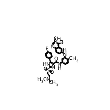 Cc1ccc(NC(=O)c2nc(S(=O)(=O)CCN(C)C)[nH]c2-c2ccc(F)cc2)cc1Nc1ccc2ncn(C)c(=O)c2c1